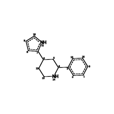 c1ccc(C2CC(c3ccc[nH]3)CCN2)cc1